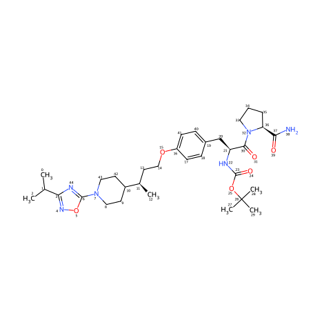 CC(C)c1noc(N2CCC([C@H](C)CCOc3ccc(C[C@H](NC(=O)OC(C)(C)C)C(=O)N4CCC[C@H]4C(N)=O)cc3)CC2)n1